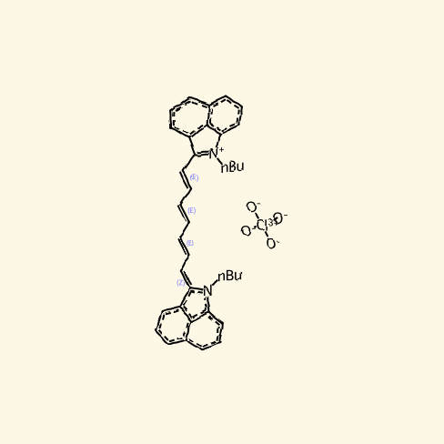 CCCCn1\c(=C/C=C/C=C/C=C/C2=[N+](CCCC)c3cccc4cccc2c34)c2cccc3cccc1c32.[O-][Cl+3]([O-])([O-])[O-]